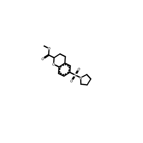 COC(=O)C1CCc2cc(S(=O)(=O)N3CCCC3)ccc2O1